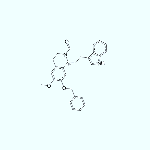 COc1cc2c(cc1OCc1ccccc1)[C@@H](CCc1c[nH]c3ccccc13)N(C=O)CC2